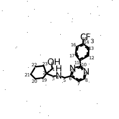 OCC1(CNCc2ccnc(-c3ccc(C(F)(F)F)cc3)n2)CCCCC1